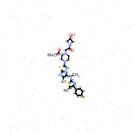 CCc1nc2sc(N3CCN(CC(=O)N4CC(O)C4)[C@@H](C(=O)OC)C3)nn2c1N(C)c1nc(-c2ccc(F)cc2)c(C#N)s1